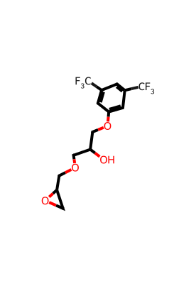 OC(COCC1CO1)COc1cc(C(F)(F)F)cc(C(F)(F)F)c1